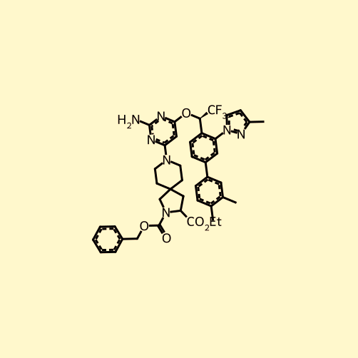 CCOC(=O)C1CC2(CCN(c3cc(O[C@H](c4ccc(-c5ccc(C)c(C)c5)cc4-n4ccc(C)n4)C(F)(F)F)nc(N)n3)CC2)CN1C(=O)OCc1ccccc1